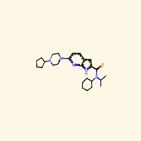 CC(C)N(C(=O)c1cc2ccc(N3CCN(C4CCCC4)CC3)nc2[nH]1)C1CCCCC1